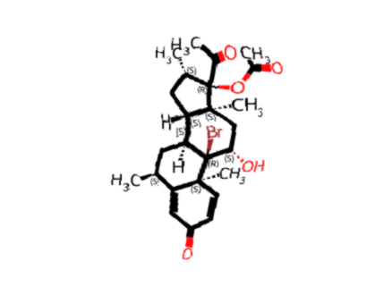 CC(=O)O[C@]1(C(C)=O)[C@@H](C)C[C@H]2[C@@H]3C[C@H](C)C4=CC(=O)C=C[C@]4(C)[C@@]3(Br)[C@@H](O)C[C@@]21C